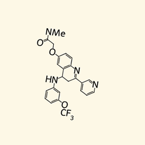 CNC(=O)COc1ccc2c(c1)C(Nc1cccc(OC(F)(F)F)c1)CC(c1cccnc1)=N2